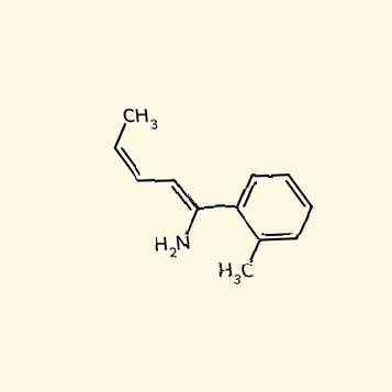 C/C=C\C=C(/N)c1ccccc1C